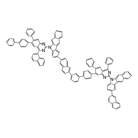 c1ccc(-c2ccc(-c3cc4c(-c5cccc6ccccc56)nc(-n5c6ccc(-c7ccc8cc(-c9cccc(-c%10ccc(-c%11cc%12nc(-n%13c%14ccc(-c%15ccc%16ccccc%16c%15)cc%14c%14cc%15ccccc%15cc%14%13)nc(-c%13ccccc%13)c%12cc%11-c%11ccccc%11)cc%10)c9)ccc8c7)cc6c6cc7ccccc7cc65)nc4cc3-c3ccccc3)cc2)cc1